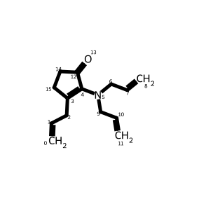 C=CCC1=C(N(CC=C)CC=C)C(=O)CC1